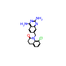 Nc1nc(N)c2ccc(CN3C(=O)CCc4cccc(Cl)c43)cc2n1